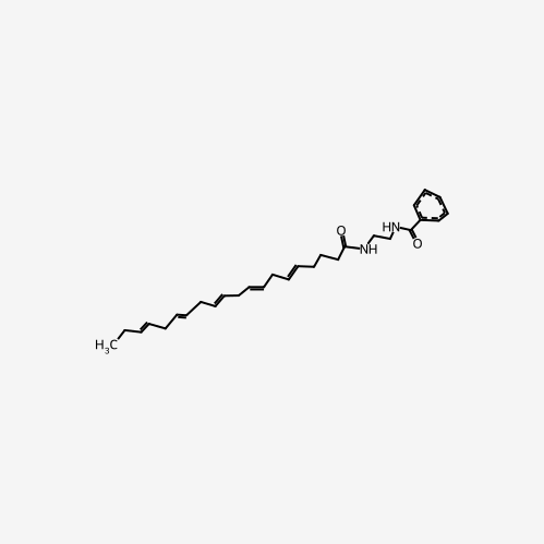 CCC=CCC=CCC=CCC=CCC=CCCCC(=O)NCCNC(=O)c1ccccc1